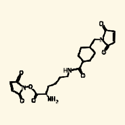 N[C@@H](CCCCNC(=O)C1CCC(CN2C(=O)C=CC2=O)CC1)C(=O)ON1C(=O)C=CC1=O